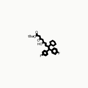 CC(C)(C)OC(=O)CC(=O)CC(O)C=CC(=C(c1ccc(F)cc1)c1ccc(F)cc1)C1CCCCC1